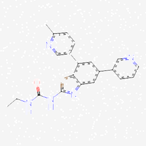 CCNC(=O)Nc1nc2cc(-c3cccnc3)cc(-c3ccc(C)nc3)c2s1